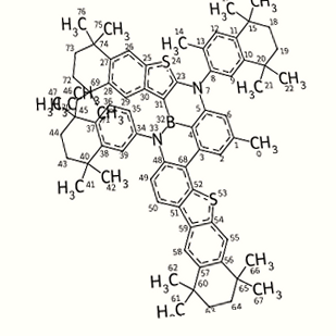 Cc1cc2c3c(c1)N(c1cc4c(cc1C)C(C)(C)CCC4(C)C)c1sc4cc5c(cc4c1B3N(c1ccc3c(c1)C(C)(C)CCC3(C)C)c1ccc3c(sc4cc6c(cc43)C(C)(C)CCC6(C)C)c1-2)C(C)(C)CCC5(C)C